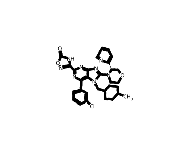 CC1CCC(Cn2c(N3CCOC[C@H]3c3ccccn3)nc3nc(-c4noc(=O)[nH]4)nc(-c4cccc(Cl)c4)c32)CC1